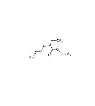 C=CCSC(CC)C(=O)OCC